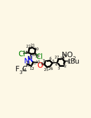 CC(C)(C)c1ccc(-c2ccc(OCc3cc(C(F)(F)F)nn3-c3c(Cl)cccc3Cl)cc2)cc1[N+](=O)[O-]